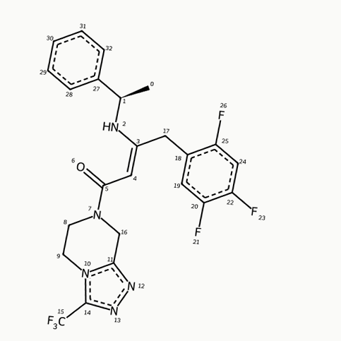 C[C@@H](N/C(=C\C(=O)N1CCn2c(nnc2C(F)(F)F)C1)Cc1cc(F)c(F)cc1F)c1ccccc1